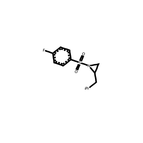 CC(C)CC1CN1S(=O)(=O)c1ccc(F)cc1